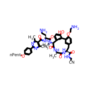 CCCCCOc1ccc(-c2nc(C)c(C(=O)N[C@@H](CCN)C(=O)N(C)[C@@H]3C(=O)N[C@@H](C)C(=O)N[C@H](C(=O)NCC#N)Cc4ccc(OCCN)c(c4)-c4cc3ccc4O)c(C)n2)cc1